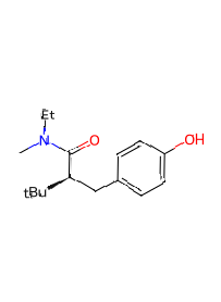 CCN(C)C(=O)[C@@H](Cc1ccc(O)cc1)C(C)(C)C